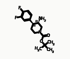 CC(C)(C)OC(=O)N1CC[C@@H](c2ccc(F)c(F)c2)[C@H](N)C1